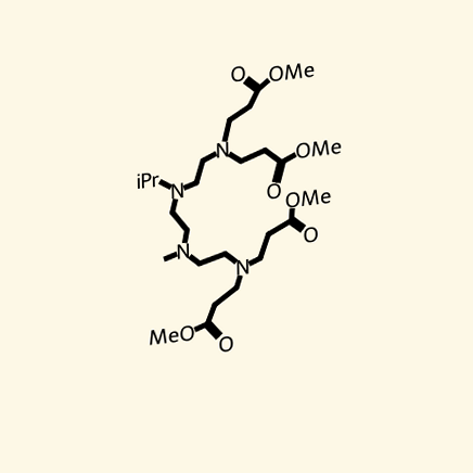 COC(=O)CCN(CCC(=O)OC)CCN(C)CCN(CCN(CCC(=O)OC)CCC(=O)OC)C(C)C